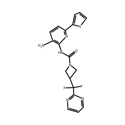 Nc1ccc(-c2cccs2)nc1NC(=O)N1CC(C(F)(F)c2ncccn2)C1